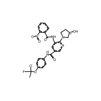 O=C(Nc1ccc(OC(F)(F)Cl)cc1)c1cnc(N2CC[C@@H](O)C2)c(NC(=O)c2ccccc2[N+](=O)[O-])c1